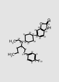 CCCC(CSc1ccc(F)cc1)N(CC)[C@H]1CC[C@H](c2ccc3[nH]c(=O)oc3c2)CC1